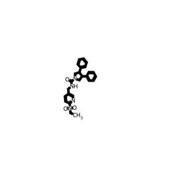 CCS(=O)(=O)c1ccc(CNC(=O)N2CC(c3ccccc3)C(c3ccccc3)C2)cn1